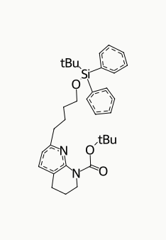 CC(C)(C)OC(=O)N1CCCc2ccc(CCCCO[Si](c3ccccc3)(c3ccccc3)C(C)(C)C)nc21